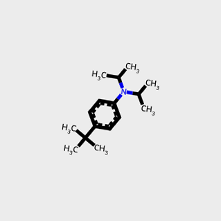 CC(C)N(c1ccc(C(C)(C)C)cc1)C(C)C